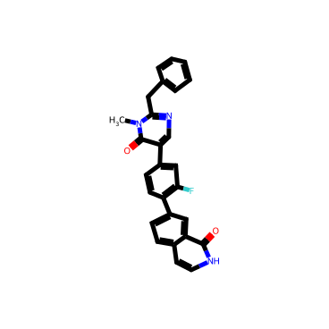 Cn1c(Cc2ccccc2)ncc(-c2ccc(-c3ccc4cc[nH]c(=O)c4c3)c(F)c2)c1=O